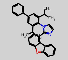 CC(C)c1cc(-c2ccccc2)cc(C(C)C)c1-n1ccnc1-c1cccc2oc3ccccc3c12